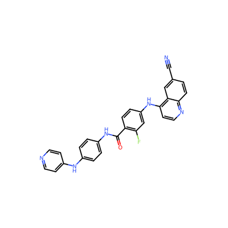 N#Cc1ccc2nccc(Nc3ccc(C(=O)Nc4ccc(Nc5ccncc5)cc4)c(F)c3)c2c1